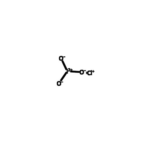 [Cl+].[O-][I+2]([O-])[O-]